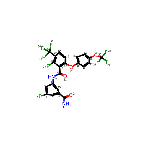 NC(=O)c1cc(F)cc(NC(=O)c2c(Oc3ccc(OC(F)(F)F)cc3)ccc(C(F)(F)F)c2F)c1